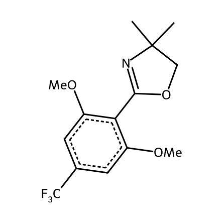 COc1cc(C(F)(F)F)cc(OC)c1C1=NC(C)(C)CO1